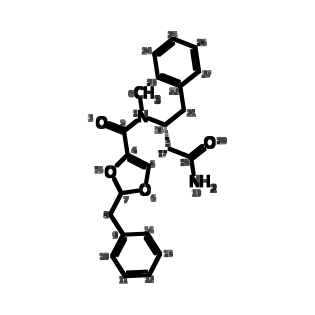 CN(C(=O)C1=COC(Cc2ccccc2)O1)[C@@H](CC(N)=O)Cc1ccccc1